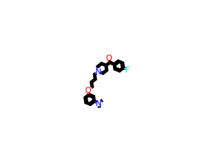 CN(C)c1cccc(OCCCCN2CCC(C(=O)c3ccc(F)cc3)CC2)c1